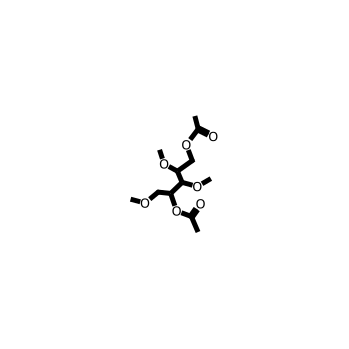 COCC(OC(C)=O)C(OC)C(COC(C)=O)OC